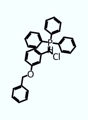 ClC(c1cccc(OCc2ccccc2)c1)[PH](c1ccccc1)(c1ccccc1)c1ccccc1